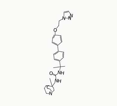 CC(C)(NC(=O)NC1(C)CCN2CCC1CC2)c1ccc(-c2ccc(OCCn3ccnn3)cc2)cc1